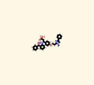 Cn1cc(-c2ccccc2)nc1CCOc1ccc(C(CC(=O)O)Nc2ccccc2C(=O)c2ccccc2)cc1